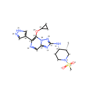 C[C@@H]1CN(S(C)(=O)=O)CC[C@@H]1Nc1nc2cnc(-c3cn[nH]c3)c(OC3CC3)n2n1